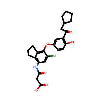 O=C(O)CC(=O)Nc1cc(Cl)c(Oc2ccc(O)c(C(=O)CC3CCCC3)c2)c2c1CCC2